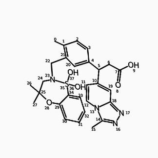 Cc1ccc(C(CC(=O)O)c2ccn3c(C)nnc3c2)cc1CN1CC(C)(C)Oc2ccccc2S1(O)O